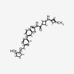 CC12CC(NC3CC(C(=O)Nc4nc5ccc(-c6cnc(CO[C@H]7CCC[C@@H]7O)nc6)cc5s4)C3)(C1)C2